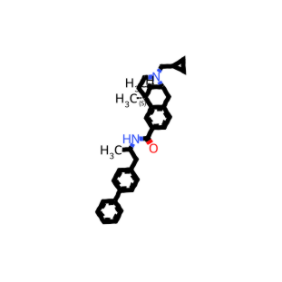 CC(Cc1ccc(-c2ccccc2)cc1)NC(=O)c1ccc2c(c1)[C@@]1(C)CCN(CC3CC3)C(C2)[C@@H]1C